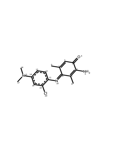 CC1=CC(=O)C(N)=C(C)C1=Nc1ccc(N(C)C)cc1Cl